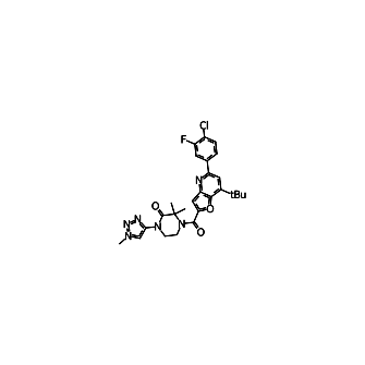 Cn1cc(N2CCN(C(=O)c3cc4nc(-c5ccc(Cl)c(F)c5)cc(C(C)(C)C)c4o3)C(C)(C)C2=O)nn1